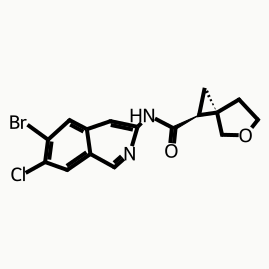 O=C(Nc1cc2cc(Br)c(Cl)cc2cn1)[C@H]1C[C@@]12CCOC2